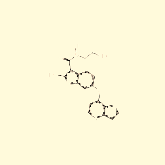 Cc1oc2cc(Oc3ccnc4ccsc34)ccc2c1C(=O)N(C)CCC(C)(C)C